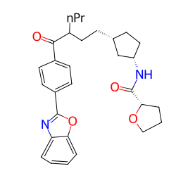 CCCC(CC[C@@H]1CC[C@H](NC(=O)[C@@H]2CCCO2)C1)C(=O)c1ccc(-c2nc3ccccc3o2)cc1